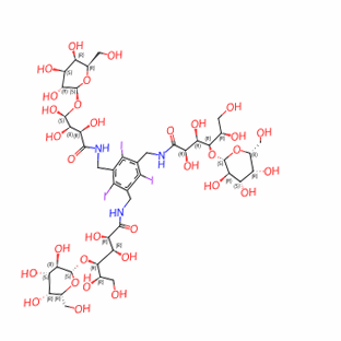 O=C(NCc1c(I)c(CNC(=O)[C@H](O)[C@@H](O)[C@H](O[C@@H]2O[C@H](CO)[C@H](O)[C@H](O)[C@H]2O)[C@H](O)CO)c(I)c(CNC(=O)[C@H](O)[C@@H](O)[C@@H](O)O[C@@H]2O[C@H](CO)[C@H](O)[C@H](O)[C@H]2O)c1I)[C@H](O)[C@@H](O)[C@H](O[C@@H]1O[C@H](CO)[C@H](O)[C@H](O)[C@H]1O)[C@H](O)CO